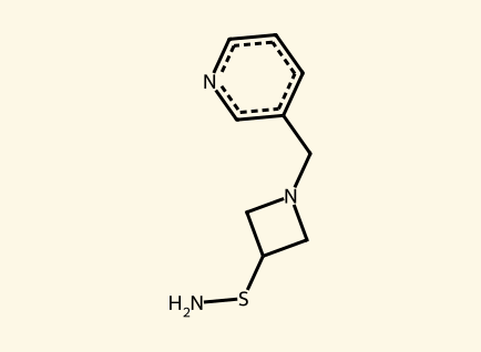 NSC1CN(Cc2cccnc2)C1